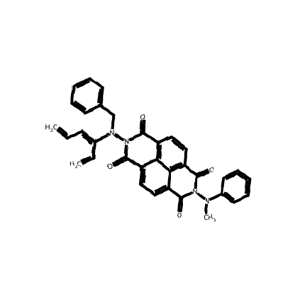 C=C/C=C(\C=C)N(Cc1ccccc1)N1C(=O)c2ccc3c4c(ccc(c24)C1=O)C(=O)N(N(C)C1=CC=C=C=C1)C3=O